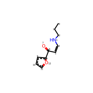 CCCN/C=C\C(=O)c1ccco1